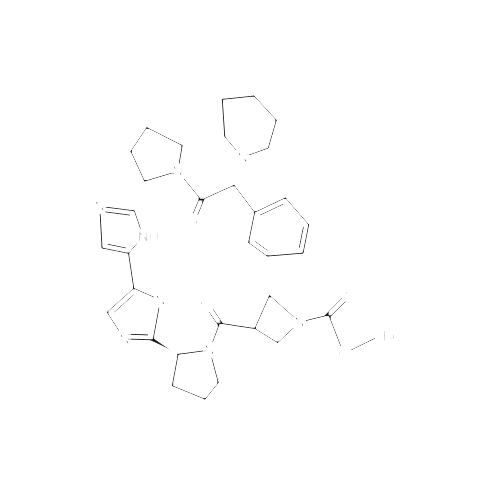 CC(C)(C)OC(=O)N1CC(C(=O)N2CCC[C@H]2c2ncc(-c3cnc([C@@H]4CCCN4C(=O)[C@@H](c4ccccc4)N4CCCCC4)[nH]3)[nH]2)C1